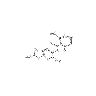 COc1cccc(Cl)c1C(=O)Pc1ccc(OC(C)OC)cc1C.[Li]